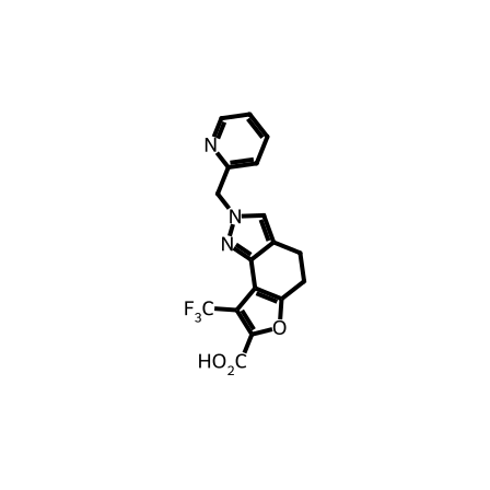 O=C(O)c1oc2c(c1C(F)(F)F)-c1nn(Cc3ccccn3)cc1CC2